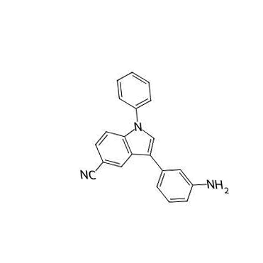 N#Cc1ccc2c(c1)c(-c1cccc(N)c1)cn2-c1ccccc1